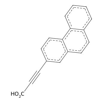 O=C(O)C#Cc1ccc2c(ccc3ccccc32)c1